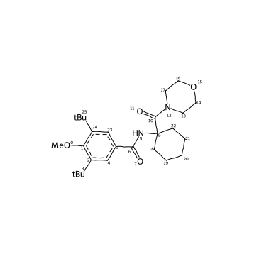 COc1c(C(C)(C)C)cc(C(=O)NC2(C(=O)N3CCOCC3)CCCCC2)cc1C(C)(C)C